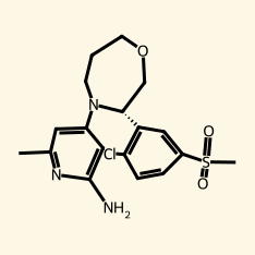 Cc1cc(N2CCCOC[C@@H]2c2cc(S(C)(=O)=O)ccc2Cl)cc(N)n1